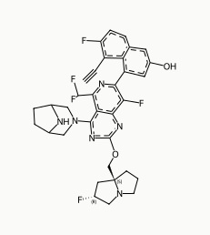 C#Cc1c(F)ccc2cc(O)cc(-c3nc(C(F)F)c4c(N5CC6CCC(C5)N6)nc(OC[C@@]56CCCN5C[C@H](F)C6)nc4c3F)c12